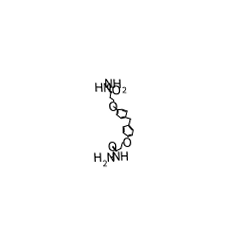 NNC(=O)CCOc1ccc(Cc2ccc(OCCC(=O)NN)cc2)cc1